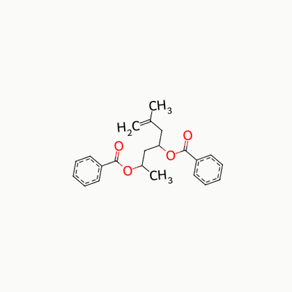 C=C(C)CC(CC(C)OC(=O)c1ccccc1)OC(=O)c1ccccc1